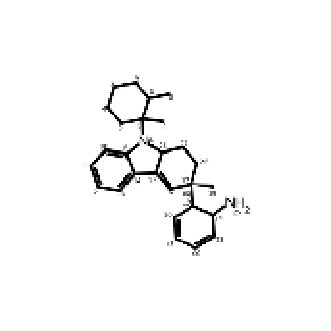 CC1CCCCC1(C)N1c2ccccc2C2=C[C@@](C)(C3C=CC=CC3N)CCC21